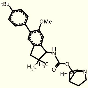 COc1cc2c(cc1-c1ccc(C(C)(C)C)cc1)CC(C)(C)C2NC(=O)O[C@H]1CN2CCC1CC2